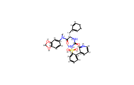 CN(C(=O)[C@H](CC1=CCCC=C1)NC(=O)NS(=O)(=O)c1ccccc1-c1cccnc1)c1ccc2c(c1)OCO2